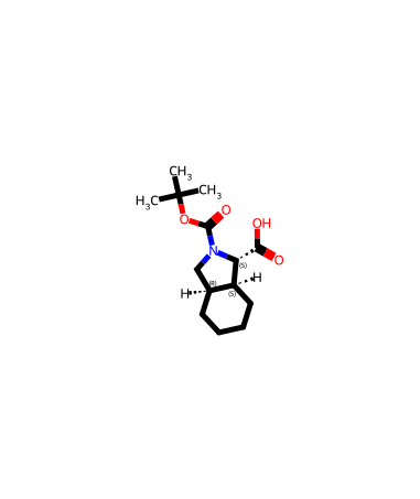 CC(C)(C)OC(=O)N1C[C@@H]2CCCC[C@@H]2[C@H]1C(=O)O